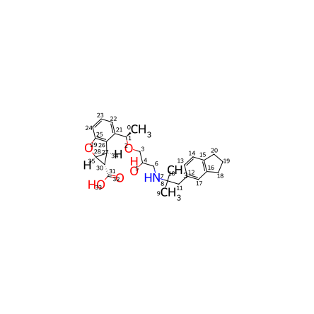 C[C@@H](OCC(O)CNC(C)(C)Cc1ccc2c(c1)CCC2)c1cccc2c1[C@@H]1[C@H](O2)[C@H]1C(=O)O